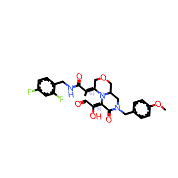 COc1ccc(CN2CC3COC/C(=C(/C)C(=O)NCc4ccc(F)cc4F)N3/C(=C(/O)C=O)C2=O)cc1